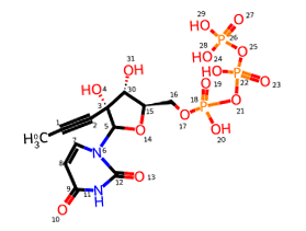 CC#C[C@]1(O)C(n2ccc(=O)[nH]c2=O)O[C@H](COP(=O)(O)OP(=O)(O)OP(=O)(O)O)[C@H]1O